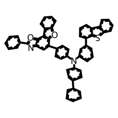 c1ccc(-c2ccc(N(c3ccc(-c4cc5nc(-c6ccccc6)oc5c5c4oc4ccccc45)cc3)c3cccc(-c4cccc5c4sc4ccccc45)c3)cc2)cc1